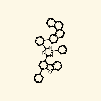 c1ccc(-c2nc(-c3ccccc3-c3ccc4ccc5ccc6ccccc6c5c4c3)nc(-c3ccc(-c4ccccc4)c4oc5ccccc5c34)n2)cc1